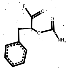 NC(=O)O[C@@H](Cc1ccccc1)C(=O)F